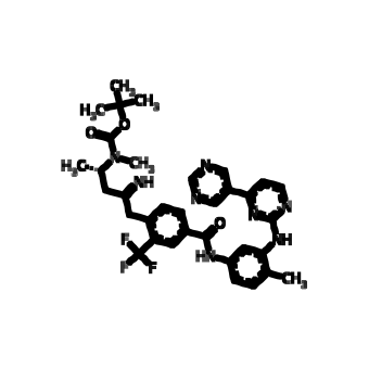 Cc1ccc(NC(=O)c2ccc(CC(=N)C[C@H](C)N(C)C(=O)OC(C)(C)C)c(C(F)(F)F)c2)cc1Nc1nccc(-c2cncnc2)n1